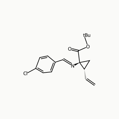 C=C[C@H]1C[C@@]1(N=Cc1ccc(Cl)cc1)C(=O)OC(C)(C)C